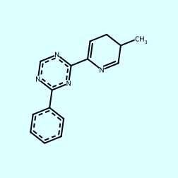 CC1C=NC(c2ncnc(-c3ccccc3)n2)=CC1